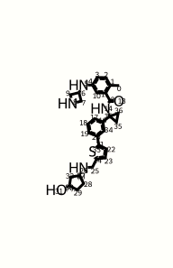 Cc1ccc(NC2CNC2)cc1C(=O)NC1(c2cccc(-c3ccc(CN[C@H]4CC[C@@H](O)C4)s3)c2)CC1